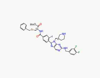 COC(=O)[C@H](CSCc1ccccc1)NC(=O)c1ccc(-c2nc3cnc(NCc4ccc(F)c(F)c4)nc3n2C[C@@H]2CCCNC2)c(I)c1